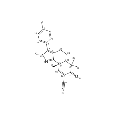 Cc1ccc(-c2c3c(nn2C)[C@@]2(C)C=C(C#N)C(=O)C(C)(C)C2CC3)cc1